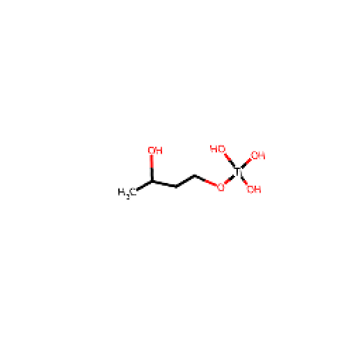 CC(O)CC[O][Ti]([OH])([OH])[OH]